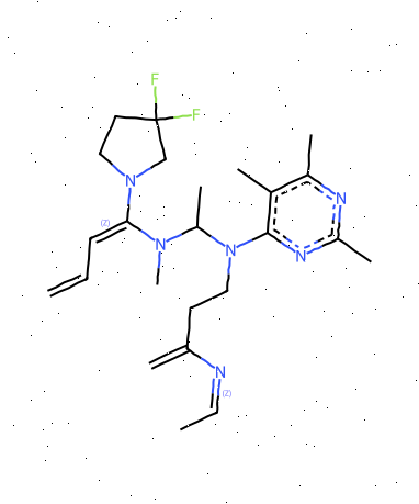 C=C/C=C(/N1CCC(F)(F)C1)N(C)C(C)N(CCC(=C)/N=C\C)c1nc(C)nc(C)c1C